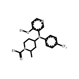 CCOc1ccncc1N(c1ccc(C(F)(F)F)cc1)C1CCN(C(=O)CC)C(C)C1